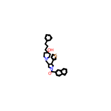 O=C(c1ccc2ccccc2c1)N1CC(CN2CCC(O)(CCCc3ccccc3)CC2)C(c2ccsc2)C1